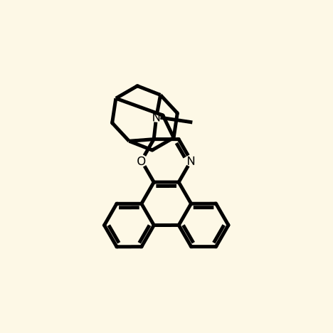 CN1C2CC3CC(C2)CC(C3)C12C=Nc1c(c3ccccc3c3ccccc13)O2